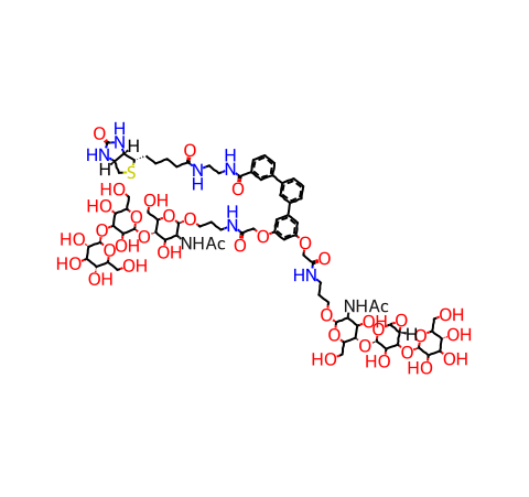 CC(=O)NC1C(O)[C@H](O[C@@H]2OC(CO)[C@H](O)C(O[C@H]3OC(CO)[C@H](O)C(O)[C@@H]3O)C2O)C(CO)O[C@H]1OCCCNC(=O)COc1cc(OCC(=O)NCCCO[C@@H]2OC(CO)[C@@H](O[C@@H]3OC4O[C@@H]4C(O[C@H]4OC(CO)[C@H](O)C(O)C4O)C3O)C(O)C2NC(C)=O)cc(-c2cccc(-c3cccc(C(=O)NCCNC(=O)CCCC[C@@H]4SC[C@@H]5NC(=O)N[C@@H]54)c3)c2)c1